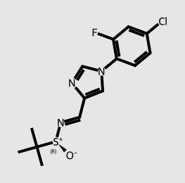 CC(C)(C)[S@+]([O-])N=Cc1cn(-c2ccc(Cl)cc2F)cn1